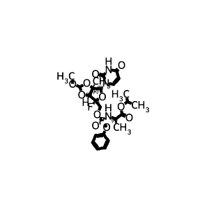 COC1O[C@H]2[C@@](C)(O1)[C@H](n1ccc(=O)[nH]c1=O)O[C@]2(F)COP(=O)(N[C@H](C)C(=O)OC(C)C)Oc1ccccc1